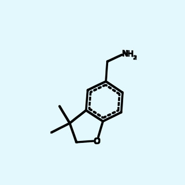 CC1(C)COc2ccc(CN)cc21